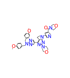 COc1ccc(CN(Cc2ccc(OC)cc2)c2ncc(-c3nc(N4CCOCC4)nc4c3CCN4c3cncc(C(=O)N4CCOCC4)c3)cn2)cc1